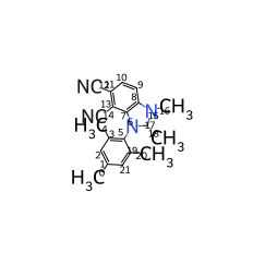 Cc1cc(C)c(N2c3c(ccc(C#N)c3C#N)N(C)[C@@H]2C)c(C)c1